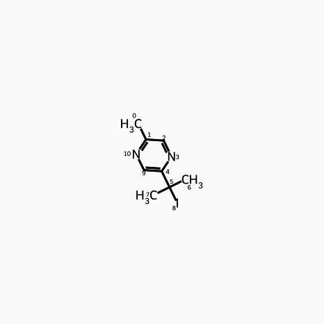 Cc1cnc(C(C)(C)I)cn1